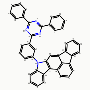 c1ccc(-c2nc(-c3ccccc3)nc(-c3cccc(-n4c5ccccc5c5c6cccc7c6c(cc54)-c4ccccc4-7)c3)n2)cc1